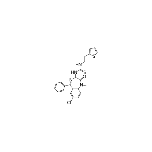 CN1C(=O)C(NC(=S)NCCc2cccs2)N=C(c2ccccc2)C2C=C(Cl)C=CC21